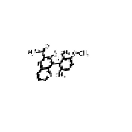 COc1ccc(C)c(-c2c(N)c(C(N)=O)nc3cccnc23)c1C